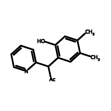 CC(=O)C(c1ccccn1)c1cc(C)c(C)cc1O